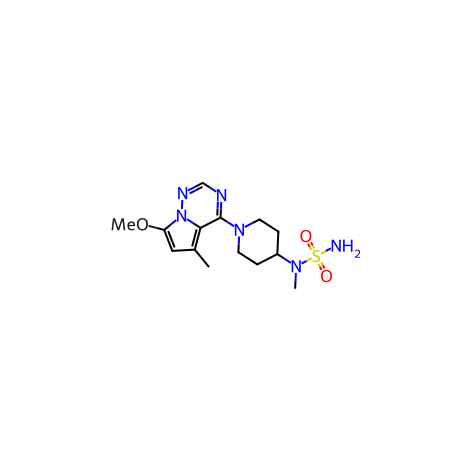 COc1cc(C)c2c(N3CCC(N(C)S(N)(=O)=O)CC3)ncnn12